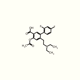 CCN(CC)CCc1cc(OC(C)=O)c(C(=O)O)cc1-c1ccc(F)cc1F